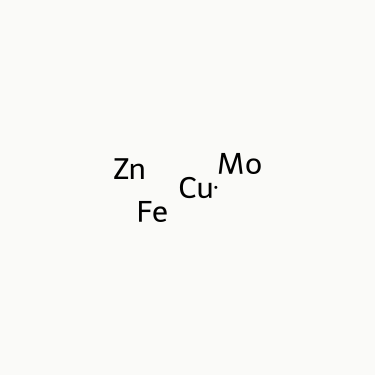 [Cu].[Fe].[Mo].[Zn]